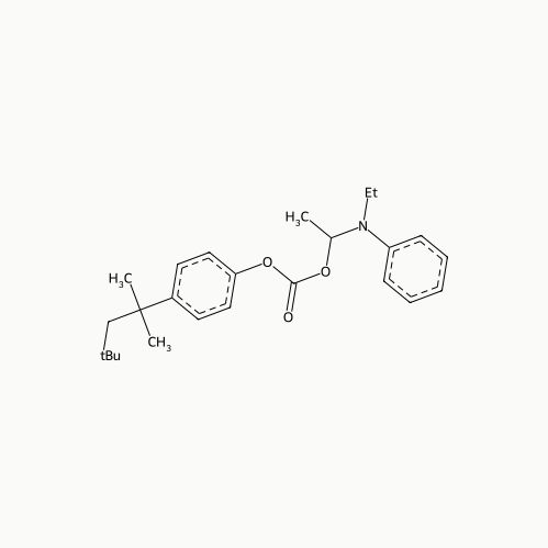 CCN(c1ccccc1)C(C)OC(=O)Oc1ccc(C(C)(C)CC(C)(C)C)cc1